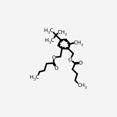 CCCCC(=O)OCc1cc(C(C)(C)C)cc(C)c1COC(=O)CCCC